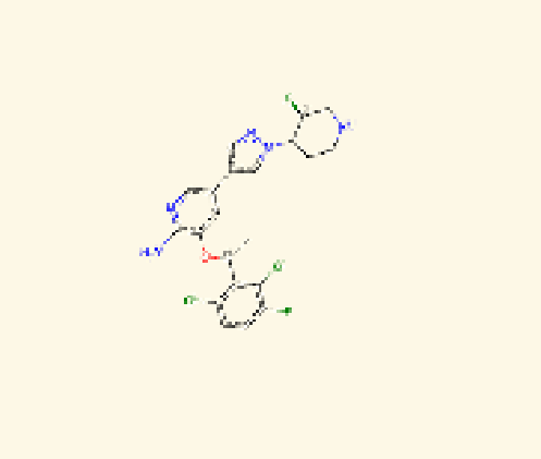 C[C@@H](Oc1cc(-c2cnn(C3CCNC[C@@H]3F)c2)cnc1N)c1c(Cl)ccc(F)c1Cl